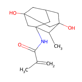 C=C(C)C(=O)NC12CC3CC(O)(CC(O)(C3)C1C)C2